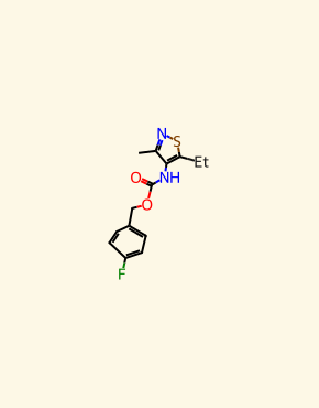 CCc1snc(C)c1NC(=O)OCc1ccc(F)cc1